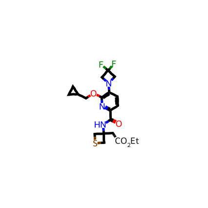 CCOC(=O)CC1(NC(=O)c2ccc(N3CC(F)(F)C3)c(OCC3CC3)n2)CSC1